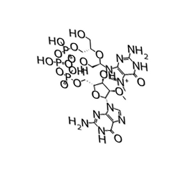 CO[C@@H]1[C@H](O)[C@@H](COP(=O)(O)OP(=O)(O)OP(=O)(O)OC[C@H](CO)O[C@H](CO)n2c[n+](C)c3c(=O)[nH]c(N)nc32)O[C@H]1n1cnc2c(=O)[nH]c(N)nc21